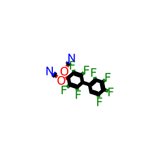 N#COC1(OC#N)C(F)=C(F)C(c2cc(F)c(F)c(F)c2F)C(F)=C1F